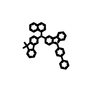 CC1(C)c2ccccc2-c2cc(N(c3ccc4c(c3)c3ccccc3n4-c3ccc(-c4ccccc4)cc3)c3cccc4ccccc34)ccc21